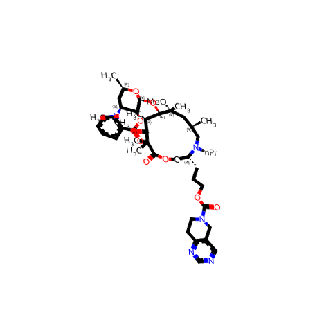 CCCN1C[C@H](C)C[C@@](C)(OC)[C@H](O[C@@H]2O[C@H](C)C[C@H](N(C)C)[C@H]2OC(=O)c2ccccc2)[C@@H](C)C(=O)C(C)(C)C(=O)OC[C@H]1CCCOC(=O)N1CCc2ncncc2C1